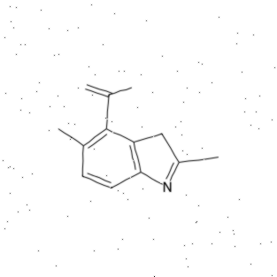 C=C(C)c1c(C)ccc2c1CC(C)=N2